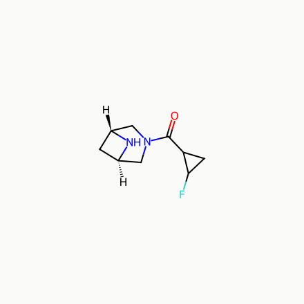 O=C(C1CC1F)N1C[C@H]2C[C@H](C1)N2